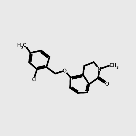 Cc1ccc(COc2cccc3c2CCN(C)C3=O)c(Cl)c1